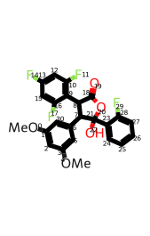 COc1cc(OC)cc(C2C(c3c(F)cc(F)cc3F)C(=O)OC2(O)c2ccccc2F)c1